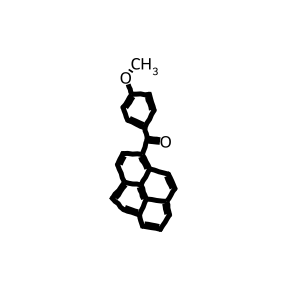 COc1ccc(C(=O)c2ccc3ccc4cccc5ccc2c3c45)cc1